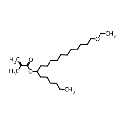 C=C(C)C(=O)OC(CCCCCC)CCCCCCCCCCCOCC